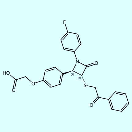 O=C(O)COc1ccc([C@@H]2[C@@H](SCC(=O)c3ccccc3)C(=O)N2c2ccc(F)cc2)cc1